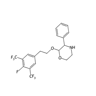 Fc1c(C(F)(F)F)cc(CCOC2OCCNC2c2ccccc2)cc1C(F)(F)F